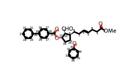 COC(=O)CCC=CCC[C@@H]1[C@@H](C=O)[C@H](OC(=O)c2ccc(-c3ccccc3)cc2)C[C@H]1Oc1ccccc1